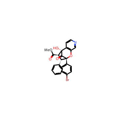 COC(=O)[C@@H]1[C@@H](c2ccccc2)[C@@]2(c3ccc(Br)cc3)Oc3cnccc3[C@@]1(O)C2=O